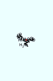 CCCC(C)(N)c1cnc(O[C@H](C)C[C@@H](C)S(C)(=O)=O)c2cnc(Nc3ccc4c(n3)[C@@H](C)[C@H](C)OC4=O)cc12